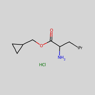 CC(C)CC(N)C(=O)OCC1CC1.Cl